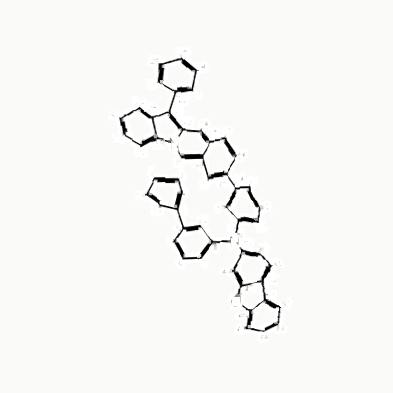 c1ccc(-c2cccc(N(c3cccc(-c4ccc5cc6c(-c7ccccc7)c7ccccc7n6cc5c4)c3)c3ccc4c(c3)oc3ccccc34)c2)cc1